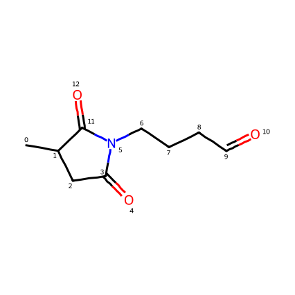 CC1CC(=O)N(CCCC=O)C1=O